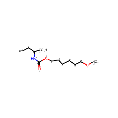 CC(C)CC(NC(=O)OCCCCCCO[N+](=O)[O-])C(=O)O